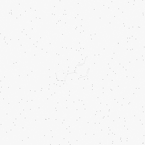 CC1=C(c2cncc(Br)c2)SCC1